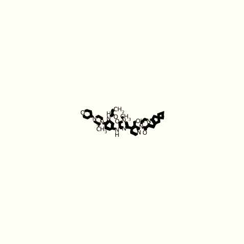 C=CC(=O)Nc1cc(Nc2nc(-c3ccnc(N4CCn5c(cc6c5CC5(CCC5)C6)C4=O)c3CO)cn(C)c2=O)ccc1N1CCN(C2CCOCC2)C[C@@H]1C